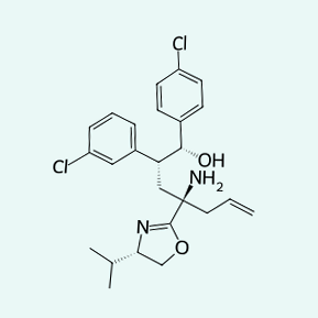 C=CC[C@@](N)(C[C@H](c1cccc(Cl)c1)[C@@H](O)c1ccc(Cl)cc1)C1=N[C@@H](C(C)C)CO1